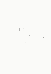 CCCCc1cc2ccccc2o1.Cl